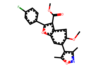 COC(=O)c1c(-c2ccc(F)cc2)oc2cc(-c3c(C)noc3C)c(OC)cc12